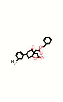 Cc1cccc(C2CC(=O)C3(CC(=O)OCc4ccccc4)CC(=O)OC3C2)c1